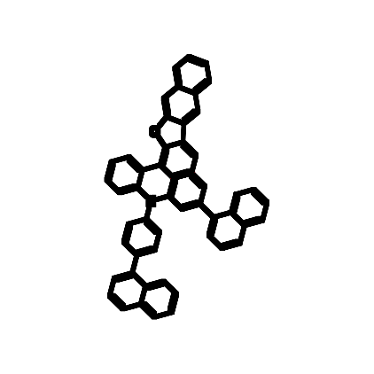 c1cc(-c2cccc3ccccc23)cc(N(c2ccc(-c3cccc4ccccc34)cc2)c2ccccc2-c2cccc3c2oc2cc4ccccc4cc23)c1